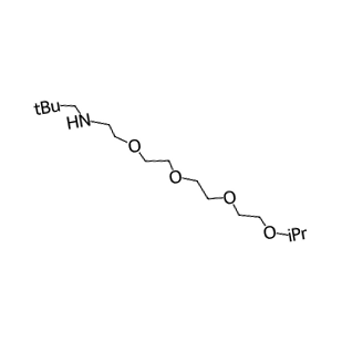 CC(C)OCCOCCOCCOCCNCC(C)(C)C